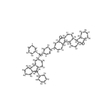 c1ccc(N(c2ccc(-c3ccc4c(c3)oc3ccc5c(ccc6oc7ccccc7c65)c34)cc2)c2ccc3c(c2)c2ccccc2n3-c2ccccc2)cc1